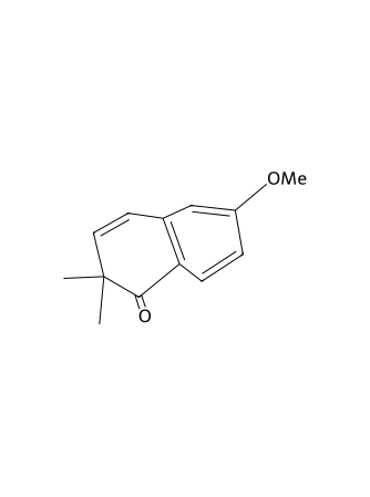 COc1ccc2c(c1)C=CC(C)(C)C2=O